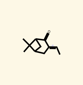 C/C=C1\CC2CC(C1=O)C2(C)C